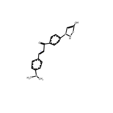 CN(C)c1ccc(/C=C/C(=O)c2ccc(N3C=C(O)ON3)cc2)cc1